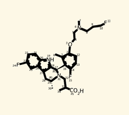 Cc1c(OCCN(C)CCCF)ccc(F)c1[C@@H]1c2[nH]c3ccc(F)cc3c2C[C@@H](C)N1CC(C)C(=O)O